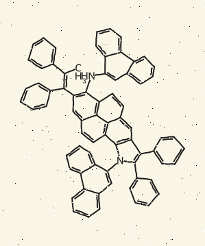 C/C(=C(/c1ccccc1)c1cc2ccc3c4c(ccc(c1Nc1cc5ccccc5c5ccccc15)c24)cc1c(-c2ccccc2)c(-c2ccccc2)n(-c2cc4ccccc4c4ccccc24)c13)c1ccccc1